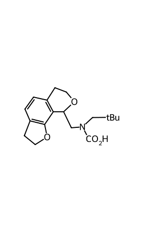 CC(C)(C)CN(CC1OCCc2ccc3c(c21)OCC3)C(=O)O